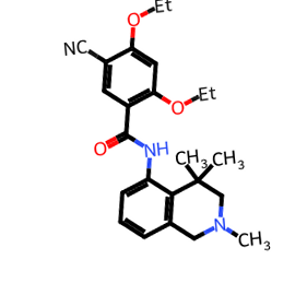 CCOc1cc(OCC)c(C(=O)Nc2cccc3c2C(C)(C)CN(C)C3)cc1C#N